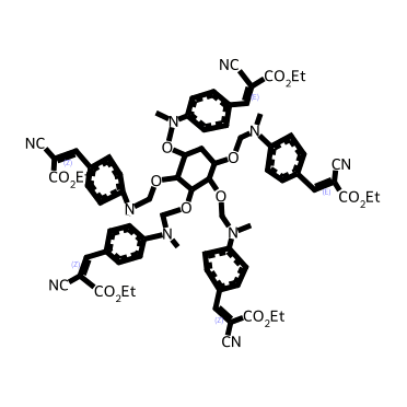 CCOC(=O)/C(C#N)=C\c1ccc(N(C)COC2C(OCN(C)c3ccc(/C=C(\C#N)C(=O)OCC)cc3)CC(ON(C)c3ccc(/C=C(\C#N)C(=O)OCC)cc3)C(OCN(C)c3ccc(/C=C(/C#N)C(=O)OCC)cc3)C2OCN(C)c2ccc(/C=C(/C#N)C(=O)OCC)cc2)cc1